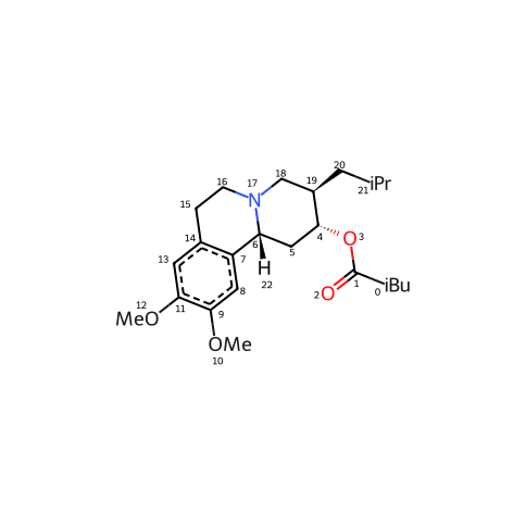 CCC(C)C(=O)O[C@@H]1C[C@@H]2c3cc(OC)c(OC)cc3CCN2C[C@H]1CC(C)C